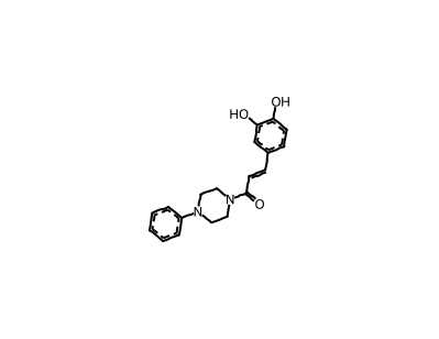 O=C(C=Cc1ccc(O)c(O)c1)N1CCN(c2ccccc2)CC1